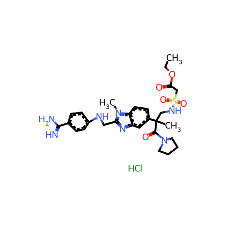 CCOC(=O)CS(=O)(=O)NCC(C)(C(=O)N1CCCC1)c1ccc2c(c1)nc(CNc1ccc(C(=N)N)cc1)n2C.Cl